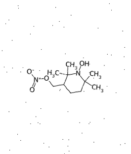 CC1(C)CCC(CO[N+](=O)[O-])C(C)(C)N1O